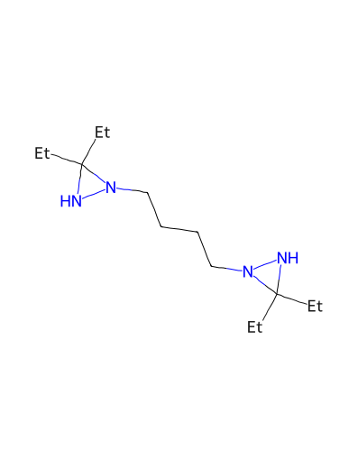 CCC1(CC)NN1CCCCN1NC1(CC)CC